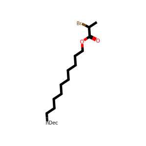 CCCCCCCCCCCCCCCCCCCCOC(=O)C(C)Br